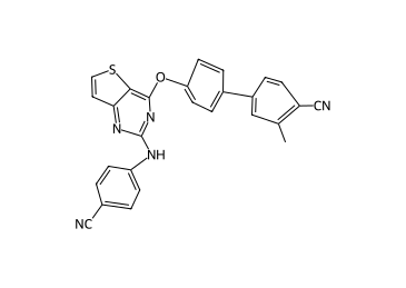 Cc1cc(-c2ccc(Oc3nc(Nc4ccc(C#N)cc4)nc4ccsc34)cc2)ccc1C#N